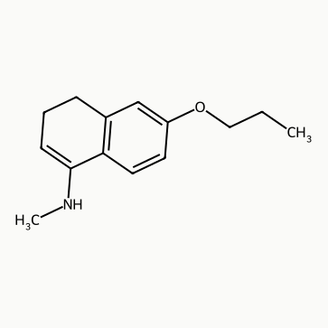 CCCOc1ccc2c(c1)CCC=C2NC